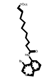 CCCCCCCCC=CCCCCCCCC(=O)Nc1cccc2cncc(Br)c12